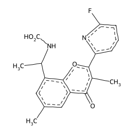 Cc1cc(C(C)NC(=O)O)c2oc(-c3cccc(F)n3)c(C)c(=O)c2c1